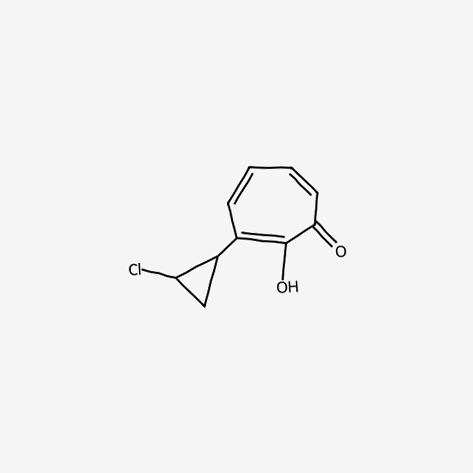 O=c1ccccc(C2CC2Cl)c1O